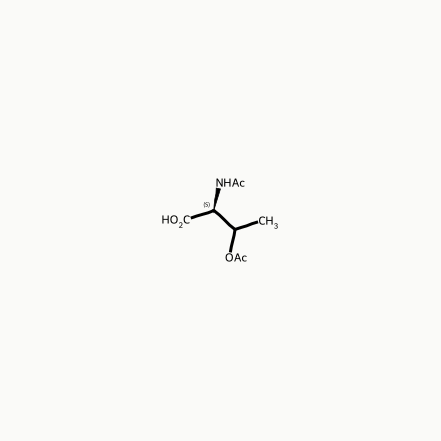 CC(=O)N[C@H](C(=O)O)C(C)OC(C)=O